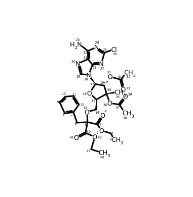 CCOC(=O)C(Cc1ccccc1)(OC[C@H]1O[C@@H](n2cnc3c(N)nc(Cl)nc32)[C@H](OC(C)=O)[C@]1(C)OC(C)=O)C(=O)OCC